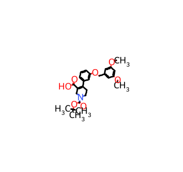 COc1cc(COc2cccc(C3=C(C(=O)O)CN(C(=O)OC(C)(C)C)CC3)c2)cc(OC)c1